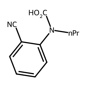 CCCN(C(=O)O)c1ccccc1C#N